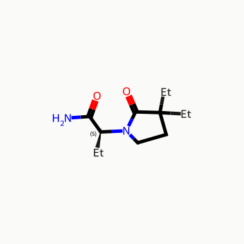 CC[C@@H](C(N)=O)N1CCC(CC)(CC)C1=O